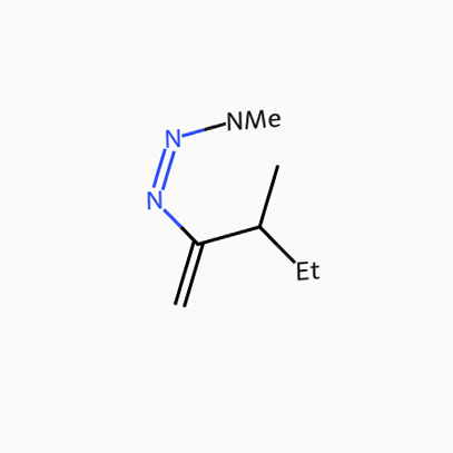 C=C(/N=N\NC)C(C)CC